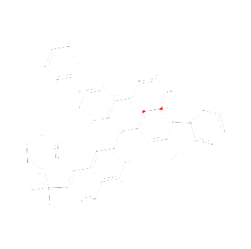 CC1(C)c2ccccc2-c2ccc(N(c3ccc4ccc5c(c4c3)-c3ccccc3C5(C)C)c3ccc(-c4ccccc4)cc3-c3ccccc3)cc21